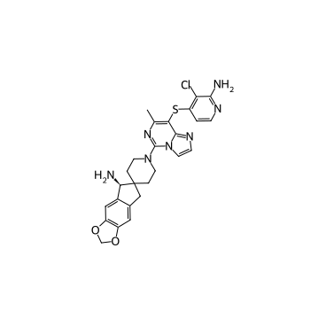 Cc1nc(N2CCC3(CC2)Cc2cc4c(cc2[C@H]3N)OCO4)n2ccnc2c1Sc1ccnc(N)c1Cl